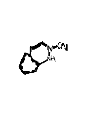 N#CN1C=Cc2ccccc2N1